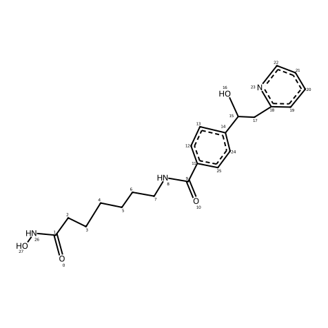 O=C(CCCCCCNC(=O)c1ccc(C(O)Cc2ccccn2)cc1)NO